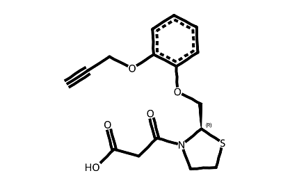 C#CCOc1ccccc1OC[C@H]1SCCN1C(=O)CC(=O)O